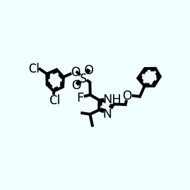 CC(C)c1nc(COCc2ccccc2)[nH]c1C(F)CS(=O)(=O)Oc1cc(Cl)cc(Cl)c1